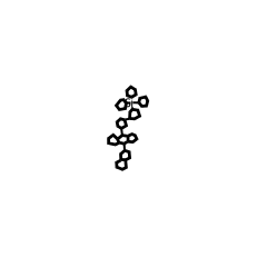 c1ccc([Si](c2ccccc2)(c2ccccc2)c2cccc(-c3cccc(-c4c5ccccc5c(-c5ccc6ccccc6c5)c5ccccc45)c3)c2)cc1